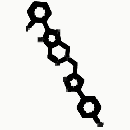 Fc1ccccc1-c1nc2c([nH]1)C=NN(Cc1cc(-c3ccc(Br)cc3)no1)C2